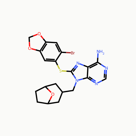 Nc1ncnc2c1nc(Sc1cc3c(cc1Br)OCO3)n2CC1CC2CCC(C1)O2